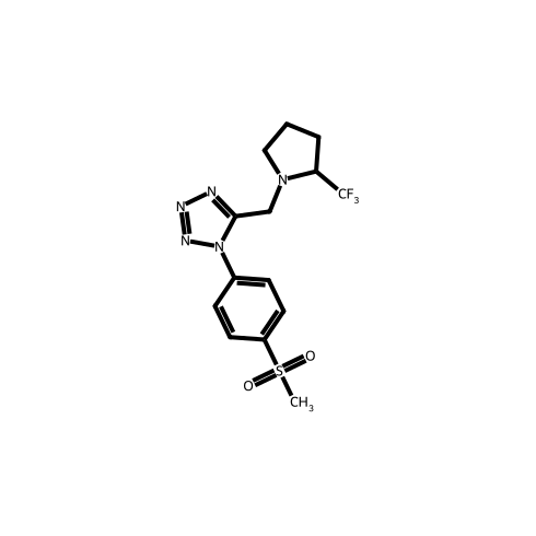 CS(=O)(=O)c1ccc(-n2nnnc2CN2CCCC2C(F)(F)F)cc1